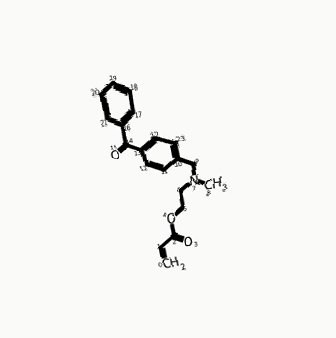 C=CC(=O)OCCN(C)Cc1ccc(C(=O)c2ccccc2)cc1